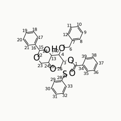 O=C(O[C@H]1C(OCc2ccccc2)[C@@H]2OC(c3ccccc3)OCC2O[C@H]1Sc1ccccc1)c1ccccc1